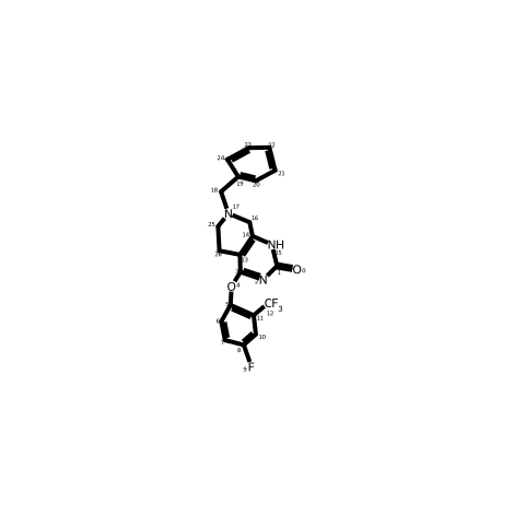 O=c1nc(Oc2ccc(F)cc2C(F)(F)F)c2c([nH]1)CN(Cc1ccccc1)CC2